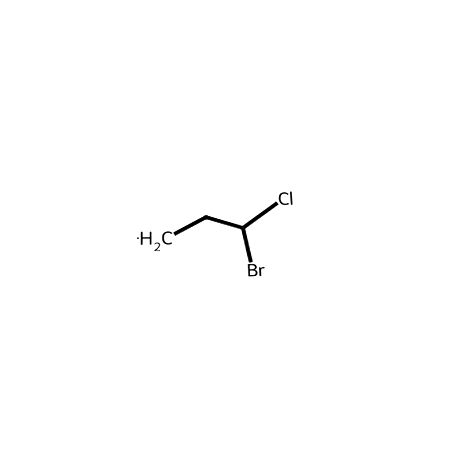 [CH2]CC(Cl)Br